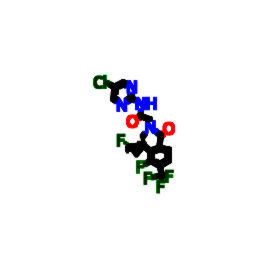 O=C(CN1C[C@]2(C[C@@H]2F)c2c(ccc(C(F)(F)F)c2F)C1=O)Nc1ncc(Cl)cn1